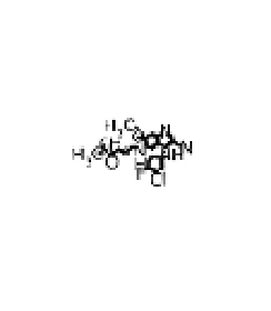 CCOc1cc2ncc(C#N)c(Nc3ccc(F)c(Cl)c3)c2cc1NCC=CC(=O)N(C)C